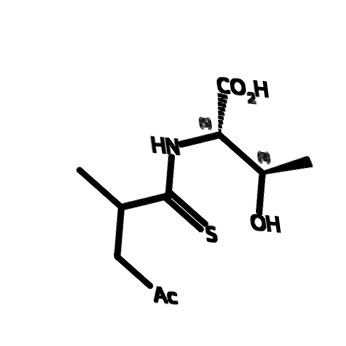 CC(=O)CC(C)C(=S)N[C@H](C(=O)O)[C@@H](C)O